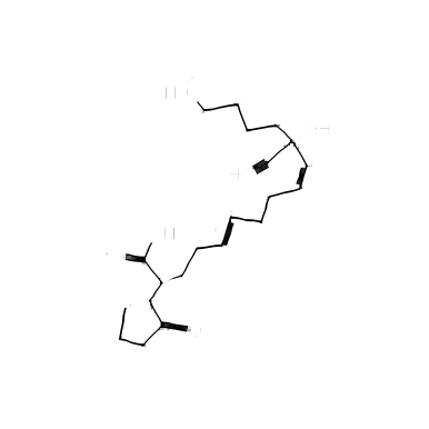 C#C[C@](O)(/C=C\CC/C=C/CC[C@H](C(=O)O)[C@H]1CCCC1=O)CCCCC